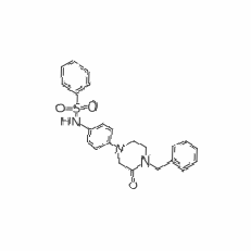 O=C1CN(c2ccc(NS(=O)(=O)c3ccccc3)cc2)CCN1Cc1ccccc1